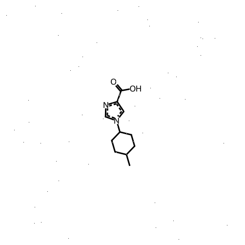 CC1CCC(n2cnc(C(=O)O)c2)CC1